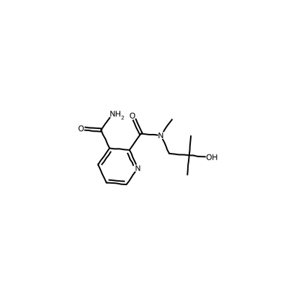 CN(CC(C)(C)O)C(=O)c1ncccc1C(N)=O